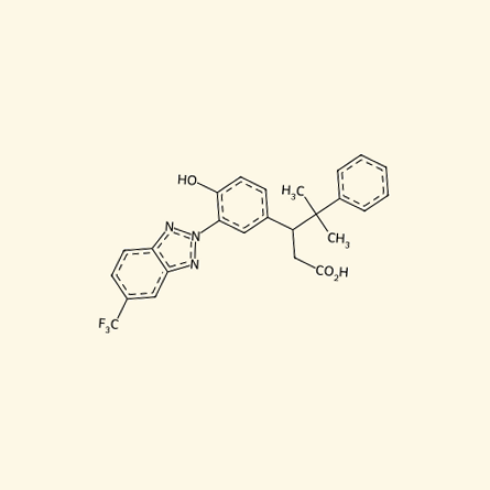 CC(C)(c1ccccc1)C(CC(=O)O)c1ccc(O)c(-n2nc3ccc(C(F)(F)F)cc3n2)c1